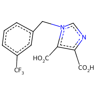 O=C(O)c1ncn(Cc2cccc(C(F)(F)F)c2)c1C(=O)O